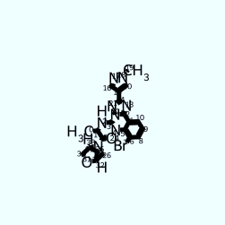 CC(Nc1nc2c(Br)cccc2c2nc(-c3cnn(C)c3)nn12)C(=O)N1C[C@@H]2C[C@H]1CO2